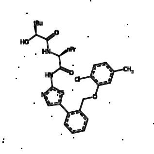 CCC[C@H](NC(=O)[C@@H](O)C(C)(C)C)C(=O)Nc1ncc(-c2ccccc2COc2cc(C)ccc2Cl)s1